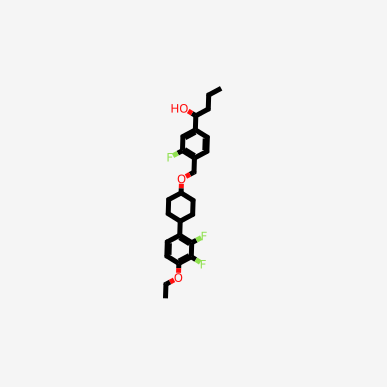 CCCC(O)c1ccc(COC2CCC(c3ccc(OCC)c(F)c3F)CC2)c(F)c1